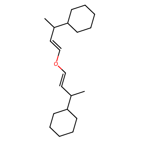 CC(/C=C/O/C=C/C(C)C1CCCCC1)C1CCCCC1